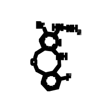 NNc1nc2c(cc1Br)COCc1cccc(F)c1CN2